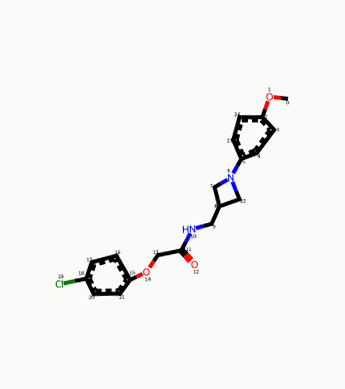 COc1ccc(N2CC(CNC(=O)COc3ccc(Cl)cc3)C2)cc1